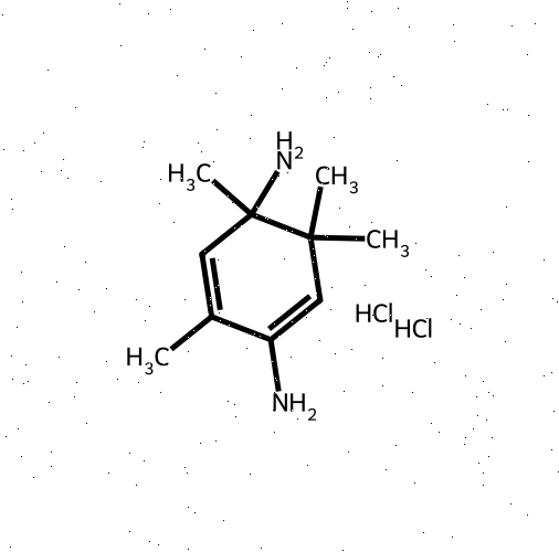 CC1=CC(C)(N)C(C)(C)C=C1N.Cl.Cl